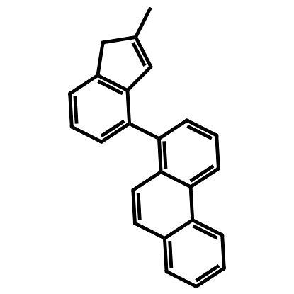 CC1=Cc2c(cccc2-c2cccc3c2ccc2ccccc23)C1